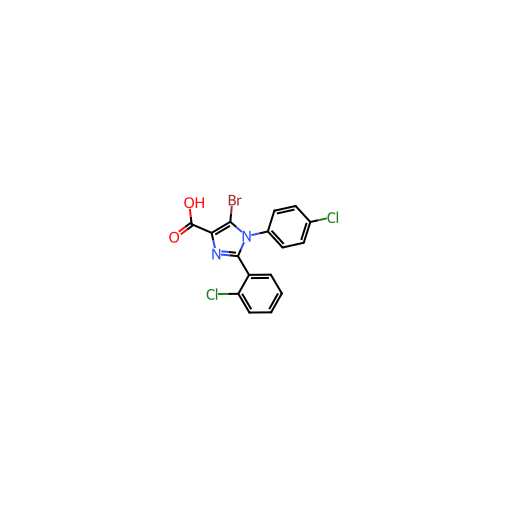 O=C(O)c1nc(-c2ccccc2Cl)n(-c2ccc(Cl)cc2)c1Br